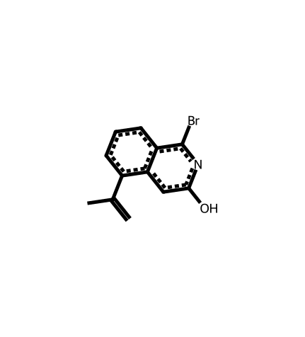 C=C(C)c1cccc2c(Br)nc(O)cc12